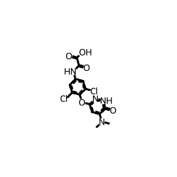 CN(C)c1cc(Oc2c(Cl)cc(NC(=O)C(=O)O)cc2Cl)n[nH]c1=O